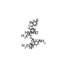 Cc1ncn(-c2ccc(N)cc2OCCCC(C)Nc2nc(Cl)nc3c2CCC3c2ccc(F)cc2F)n1